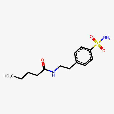 NS(=O)(=O)c1ccc(CCNC(=O)CCCC(=O)O)cc1